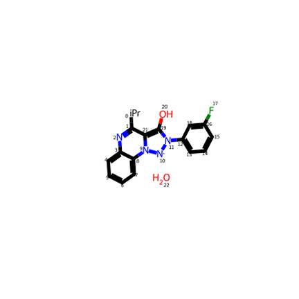 CC(C)C1=Nc2ccccc2N2[N]N(c3cccc(F)c3)C(O)=C12.O